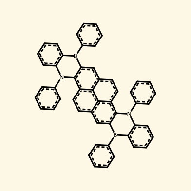 c1ccc(B2c3ccccc3N(c3ccccc3)c3c2cc2ccc4c5c(cc6ccc3c2c64)B(c2ccccc2)c2ccccc2N5c2ccccc2)cc1